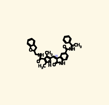 Cc1[nH]c(/C=C2\C(=O)Nc3ccc(C(=O)N[C@H](C)c4ccccc4)cc32)c(C)c1C(=O)NCC1Cc2ccccc2O1